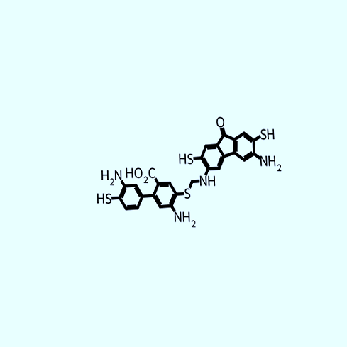 Nc1cc(-c2cc(N)c(SCNc3cc4c(cc3S)C(=O)c3cc(S)c(N)cc3-4)cc2C(=O)O)ccc1S